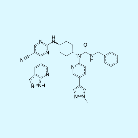 Cn1cc(-c2ccc(N(C(=O)NCc3ccccc3)[C@H]3CC[C@H](Nc4ncc(C#N)c(-c5cnc6[nH]ncc6c5)n4)CC3)nc2)cn1